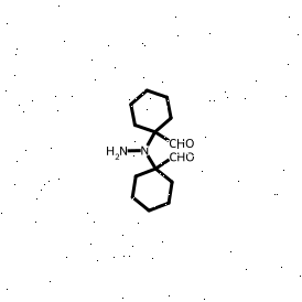 NN(C1(C=O)CCCCC1)C1(C=O)CCCCC1